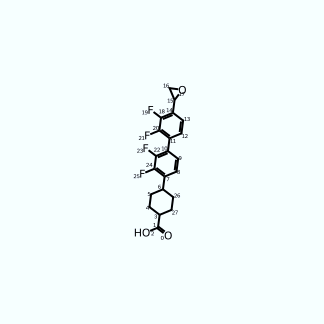 O=C(O)C1CCC(c2ccc(-c3ccc(C4CO4)c(F)c3F)c(F)c2F)CC1